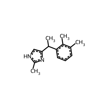 Cc1nc(C(C)c2cccc(C)c2C)c[nH]1